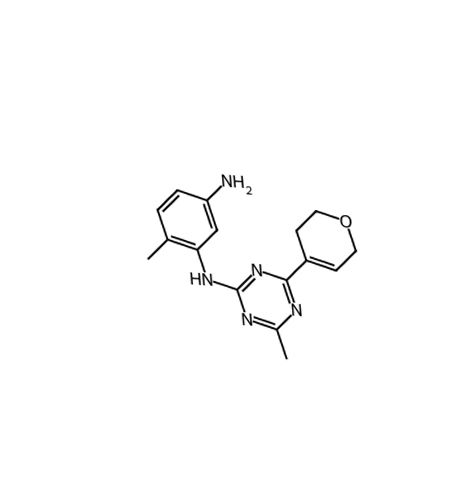 Cc1nc(Nc2cc(N)ccc2C)nc(C2=CCOCC2)n1